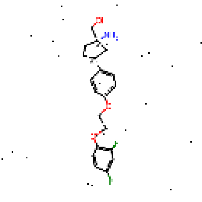 N[C@@]1(CO)CC[C@@H](c2ccc(OCCOc3ccc(F)cc3F)cc2)C1